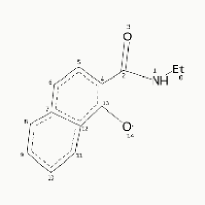 CCNC(=O)c1ccc2ccccc2c1[O]